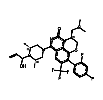 C=CC(O)N1[C@H](C)CN(c2nc(=O)n3c4c(c(-c5ccc(F)cc5F)c(C(F)(F)F)cc24)SC[C@@H]3CN(C)C)C[C@@H]1C